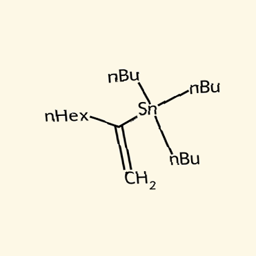 C=[C](CCCCCC)[Sn]([CH2]CCC)([CH2]CCC)[CH2]CCC